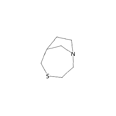 C1CN2CCC(CS1)C2